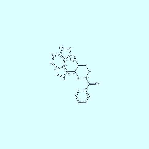 CC1CCN(C(=O)c2ccccc2)CC1c1ncc2cnc3[nH]ccc3n12